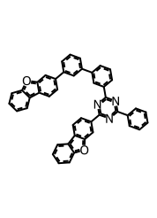 c1ccc(-c2nc(-c3cccc(-c4cccc(-c5ccc6c(c5)oc5ccccc56)c4)c3)nc(-c3ccc4c(c3)oc3ccccc34)n2)cc1